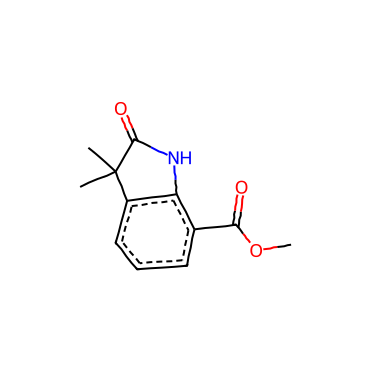 COC(=O)c1cccc2c1NC(=O)C2(C)C